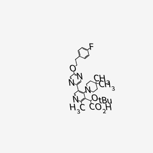 Cc1ncc(-c2cnc(OCCc3ccc(F)cc3)cn2)c(N2CCC(C)(C)CC2)c1C(OC(C)(C)C)C(=O)O